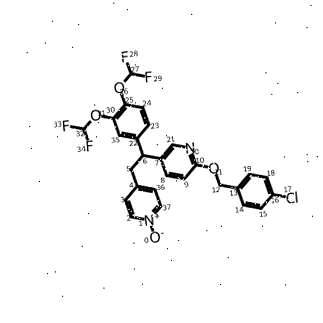 [O-][n+]1ccc(CC(c2ccc(OCc3ccc(Cl)cc3)nc2)c2ccc(OC(F)F)c(OC(F)F)c2)cc1